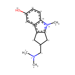 CN(C)CC1Cc2c(n(C)c3ccc(O)cc23)C1